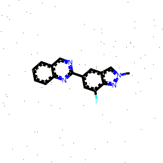 Cn1cc2cc(-c3ncc4ccccc4n3)cc(F)c2n1